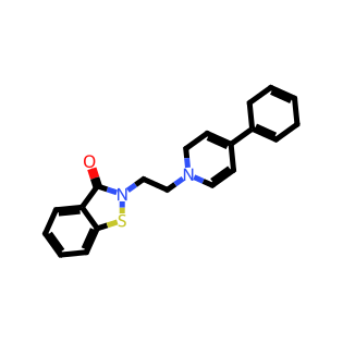 O=c1c2ccccc2sn1CCN1C=CC(C2=CCC=CC2)=CC1